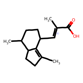 CC1=C2C(/C=C(\C)C(=O)O)CCC(C)C2CC1